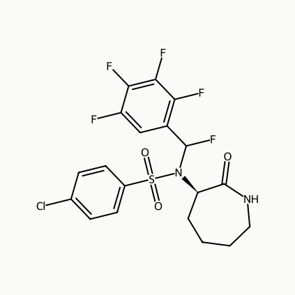 O=C1NCCCC[C@H]1N(C(F)c1cc(F)c(F)c(F)c1F)S(=O)(=O)c1ccc(Cl)cc1